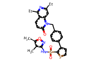 CCc1cc2c(ccc(=O)n2Cc2ccc(-c3ccsc3S(=O)(=O)Nc3noc(C)c3C)cc2)c(CC)n1